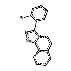 Brc1ccccc1-c1nnc2c3ccccc3ccn12